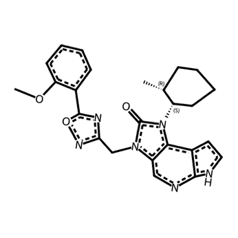 COc1ccccc1-c1nc(Cn2c(=O)n([C@H]3CCCC[C@H]3C)c3c4cc[nH]c4ncc32)no1